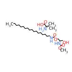 CC(C)[C@H](N)C(=O)O.CCCCCCCCCCCCCCCCCCNC(=O)OCC(CO)NC(=O)OC